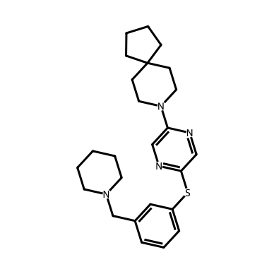 c1cc(CN2CCCCC2)cc(Sc2cnc(N3CCC4(CCCC4)CC3)cn2)c1